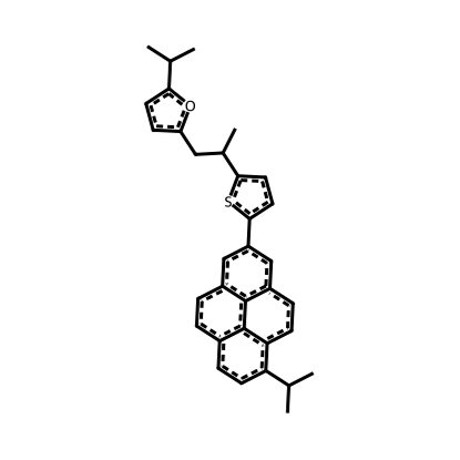 CC(C)c1ccc(CC(C)c2ccc(-c3cc4ccc5ccc(C(C)C)c6ccc(c3)c4c56)s2)o1